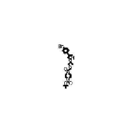 CC(C)(C)OC(=O)N1CCN(C(=O)CN2CC(n3cc(-c4ccc(Br)cc4)cn3)C2)CC1